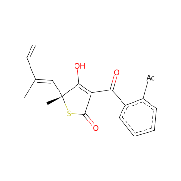 C=C/C(C)=C/[C@@]1(C)SC(=O)C(C(=O)c2ccccc2C(C)=O)=C1O